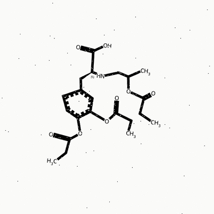 CCC(=O)Oc1ccc(C[C@H](NCC(C)OC(=O)CC)C(=O)O)cc1OC(=O)CC